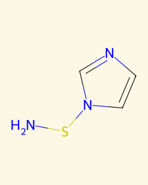 NSn1ccnc1